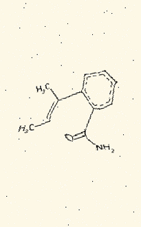 CC=C(C)c1ccccc1C(N)=O